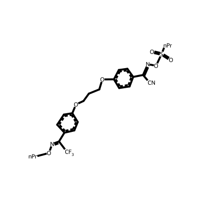 CCCO/N=C(/c1ccc(OCCCOc2ccc(/C(C#N)=N/OS(=O)(=O)CCC)cc2)cc1)C(F)(F)F